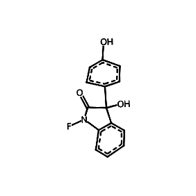 O=C1N(F)c2ccccc2C1(O)c1ccc(O)cc1